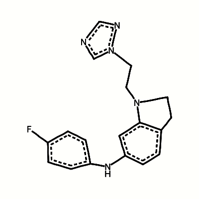 Fc1ccc(Nc2ccc3c(c2)N(CCn2cncn2)CC3)cc1